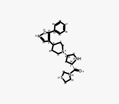 O=C([C@@H]1C[C@H](N2CCC(c3cnoc3-c3ccccc3)CC2)CN1)N1CCSC1